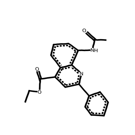 CCOC(=O)c1cc(-c2ccccc2)nc2c(NC(C)=O)cccc12